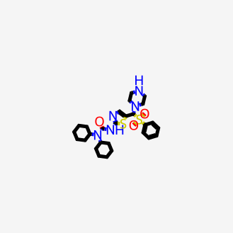 O=C(Nc1ncc(C(N2CCNCC2)S(=O)(=O)c2ccccc2)s1)N(C1CCCCC1)C1CCCCC1